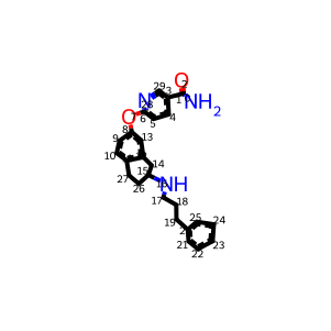 NC(=O)c1ccc(Oc2ccc3c(c2)CC(NCCCc2ccccc2)CC3)nc1